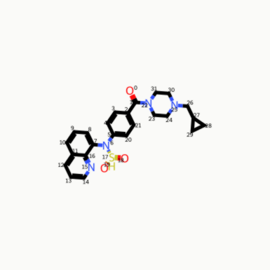 O=C(c1ccc(N(c2cccc3cccnc23)[SH](=O)=O)cc1)N1CCN(CC2CC2)CC1